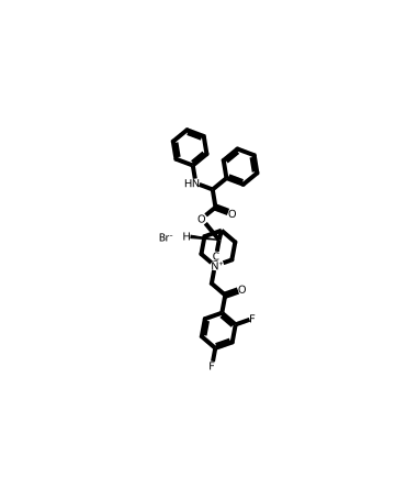 O=C(C[N+]12CCC(CC1)[C@@H](OC(=O)C(Nc1ccccc1)c1ccccc1)C2)c1ccc(F)cc1F.[Br-]